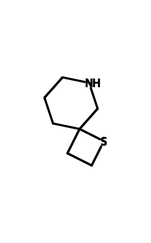 C1CNCC2(C1)CCS2